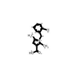 Cc1cc(C(=O)O)c(C)n1Cc1ccccc1Cl